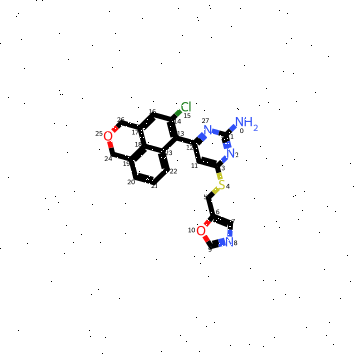 Nc1nc(SCc2cnco2)cc(-c2c(Cl)cc3c4c(cccc24)COC3)n1